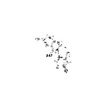 CC1=Nc2ccc(Cl)cc2C(O)N1C1CCC(=O)NC1=O